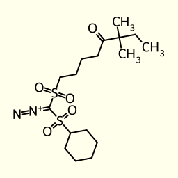 CCC(C)(C)C(=O)CCCCS(=O)(=O)C(=[N+]=[N-])S(=O)(=O)C1CCCCC1